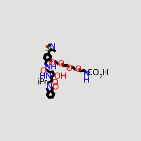 Cc1ncsc1-c1ccc(CNC(=O)C2CC(O)C(C(=O)C(C(C)C)N3Cc4ccccc4C3=O)N2)c(OCCOCCOCCOCCNC(=O)O)c1